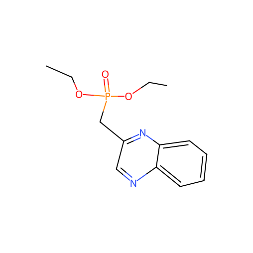 CCOP(=O)(Cc1cnc2ccccc2n1)OCC